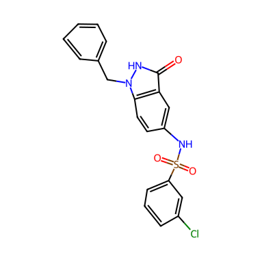 O=c1[nH]n(Cc2ccccc2)c2ccc(NS(=O)(=O)c3cccc(Cl)c3)cc12